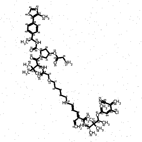 C=C/C(=C\C=C\NCCCCCOCC(=O)NC(C(=O)N1C[C@H](OC(=O)CN)C[C@H]1C(=O)N[C@@H](C)c1ccc(-c2scnc2C)cc1)C(C)(C)C)C(=O)N[C@@H](C)C(C)(C)[C@H](C)OC(=C)/C=C(/Cl)C(=C)C#N